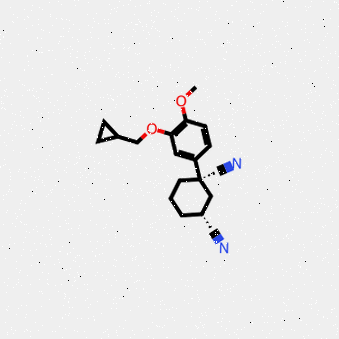 COc1ccc([C@]2(C#N)CCC[C@@H](C#N)C2)cc1OCC1CC1